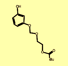 CCC(C)C(=O)OCCOCOc1cccc(O)c1